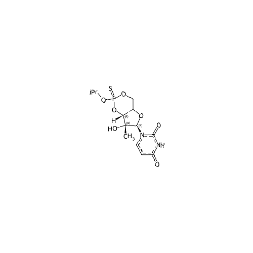 CC(C)OP1(=S)OCC2O[C@@H](n3ccc(=O)[nH]c3=O)[C@](C)(O)[C@@H]2O1